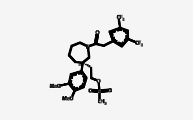 COc1ccc([C@@]2(CCOS(C)(=O)=O)CCCCN(C(=O)Cc3cc(C(F)(F)F)cc(C(F)(F)F)c3)C2)cc1OC